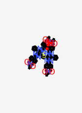 CC(C)CN1C(=O)c2ccc3c4c(ccc(c24)C1=O)-c1nc2c(-c4ccc(-c5c6nc7c(nc6c(-c6ccccc6)c6nc8c(nc56)-c5ccc6c9c(ccc-8c59)C(=O)N(CC(C)C)C6=O)-c5ccc6c8c(ccc-7c58)C(=O)N(CC(C)C)C6=O)s4)c4nc5c(nc4c(-c4ccccc4)c2nc1-3)-c1ccc2c3c(ccc-5c13)C(=O)N(CC(C)C)C2=O